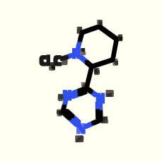 ClC(Cl)(Cl)N1CCCCC1c1ncncn1